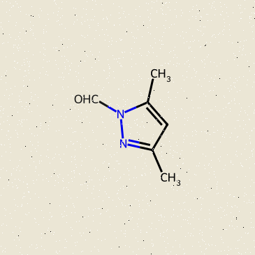 Cc1cc(C)n(C=O)n1